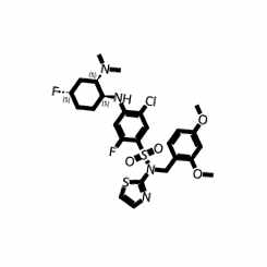 COc1ccc(CN(c2nccs2)S(=O)(=O)c2cc(Cl)c(N[C@H]3CC[C@H](F)C[C@@H]3N(C)C)cc2F)c(OC)c1